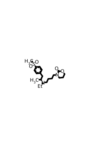 CCN(CCCCN1CCCOC1=O)C(C)Cc1ccc(S(C)(=O)=O)cc1